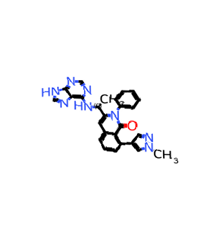 C[C@H](Nc1ncnc2[nH]cnc12)c1cc2cccc(-c3cnn(C)c3)c2c(=O)n1-c1ccccc1